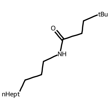 CCCCCCCCCCNC(=O)CCC(C)(C)C